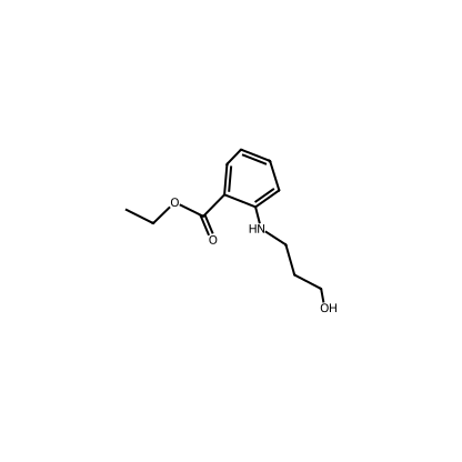 CCOC(=O)c1ccccc1NCCCO